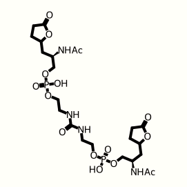 CC(=O)N[C@@H](COP(=O)(O)OCCNC(=O)NCCOP(=O)(O)OC[C@@H](CC1CCC(=O)O1)NC(C)=O)CC1CCC(=O)O1